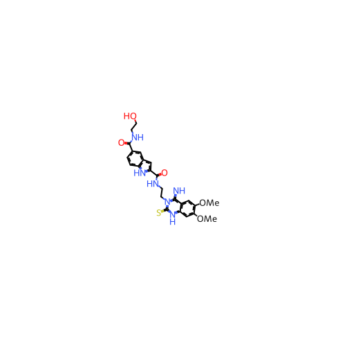 COc1cc2[nH]c(=S)n(CCNC(=O)c3cc4cc(C(=O)NCCO)ccc4[nH]3)c(=N)c2cc1OC